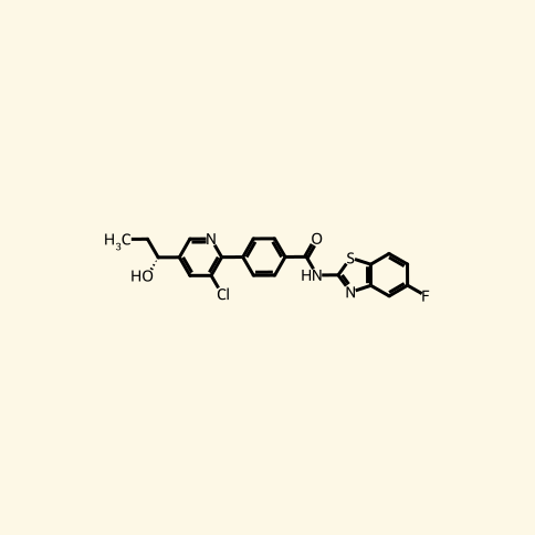 CC[C@@H](O)c1cnc(-c2ccc(C(=O)Nc3nc4cc(F)ccc4s3)cc2)c(Cl)c1